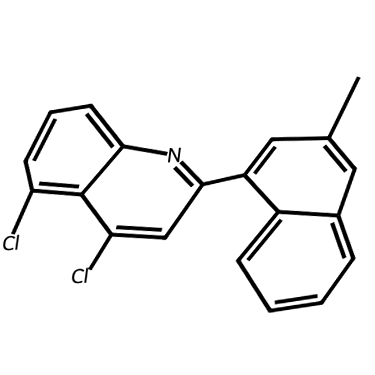 Cc1cc(-c2cc(Cl)c3c(Cl)cccc3n2)c2ccccc2c1